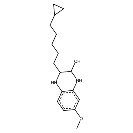 COc1ccc2c(c1)NC(O)C(CCCCCC1CC1)N2